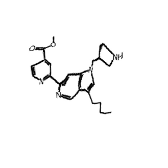 CCCCc1cn(CC2CNC2)c2cc(-c3cc(C(=O)OC)ccn3)ncc12